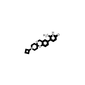 Cc1[nH]c(=O)ccc1-c1ccc2c(c1)COC1(CCN(C3CCC3)CC1)O2